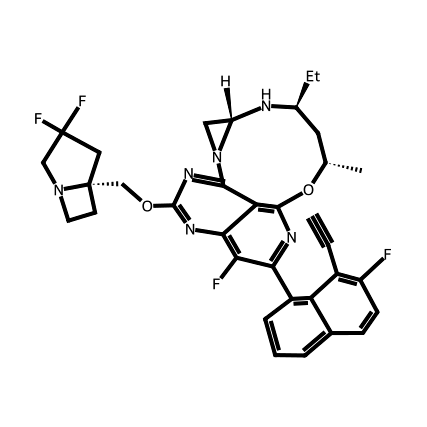 C#Cc1c(F)ccc2cccc(-c3nc4c5c(nc(OC[C@]67CCN6CC(F)(F)C7)nc5c3F)N3C[C@@H]3N[C@@H](CC)C[C@H](C)O4)c12